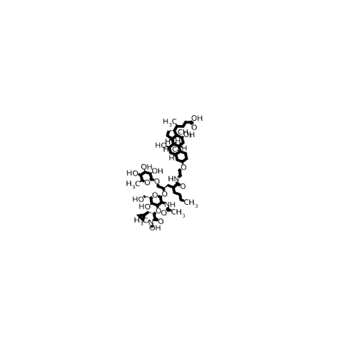 CCCCC(C[C@H](COC1O[C@@H](C)C(O)[C@H](O)[C@@H]1O)O[C@@H]1O[C@@H](CO)[C@H](O)C(O[C@@H](CC2CC2)C(=O)N(C)O)C1NC(C)=O)C(=O)NCCO[C@@H]1CC[C@@]2(C)[C@@H](C1)C[C@@H](O)[C@@H]1[C@@H]2C[C@H](O)[C@]2(C)[C@@H]([C@H](C)CCC(=O)O)CC[C@@H]12